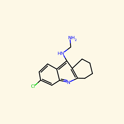 NCNc1c2c(nc3cc(Cl)ccc13)CCCC2